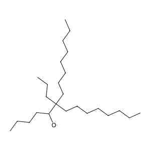 CCCCCCCCC(CCC)(CCCCCCCC)C([O])CCCC